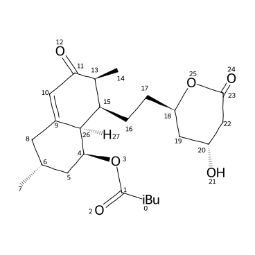 CCC(C)C(=O)O[C@H]1C[C@H](C)CC2=CC(=O)[C@@H](C)[C@@H](CC[C@@H]3C[C@@H](O)CC(=O)O3)[C@H]21